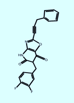 O=C1Nc2nc(C#CCc3ccccc3)oc2C(=O)C1Cc1ccc(F)c(F)c1